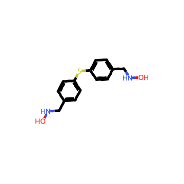 ONCc1ccc(Sc2ccc(CNO)cc2)cc1